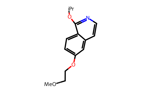 COCCOc1ccc2c(OC(C)C)nccc2c1